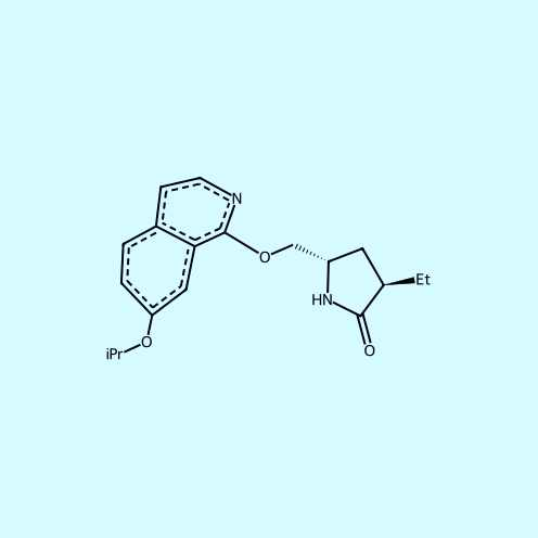 CC[C@@H]1C[C@@H](COc2nccc3ccc(OC(C)C)cc23)NC1=O